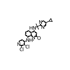 Cn1c(=O)cc(NC(C)(C)c2ncc(C3CC3)cn2)c2cccc(Nc3ccnc(Cl)c3Cl)c21